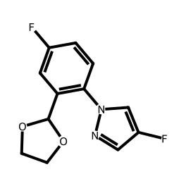 Fc1ccc(-n2cc(F)cn2)c(C2OCCO2)c1